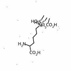 CC(=O)O.CC(=O)O.CC(=O)O.NCCCCC(N)C(=O)O